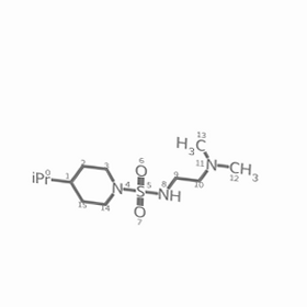 CC(C)C1CCN(S(=O)(=O)NCCN(C)C)CC1